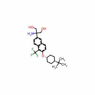 CC(C)(C)[C@H]1CC[C@H](Oc2ccc3cc(C(N)(CO)CO)ccc3c2C(F)(F)F)CC1